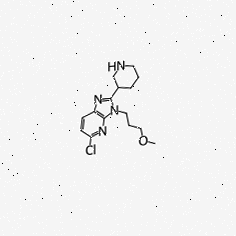 COCCCn1c(C2CCCNC2)nc2ccc(Cl)nc21